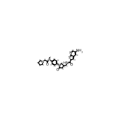 CN(C(=O)CN1CCCC1)c1ccc(N2CC(CNC(=O)C3C=C4C=C(N)C=NC4S3)CC2=O)cc1